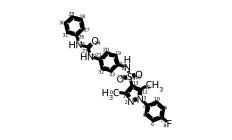 Cc1nn(-c2ccc(F)cc2)c(C)c1S(=O)(=O)Nc1ccc(NC(=O)Nc2ccccc2)cc1